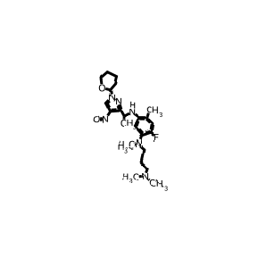 Cc1cc(F)c(N(C)CCCN(C)C)cc1NC(C)c1nn(C2CCCCO2)cc1N=O